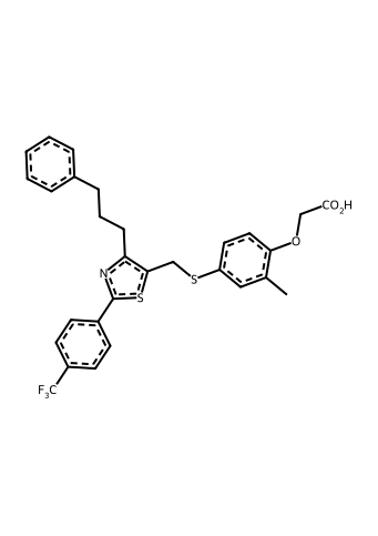 Cc1cc(SCc2sc(-c3ccc(C(F)(F)F)cc3)nc2CCCc2ccccc2)ccc1OCC(=O)O